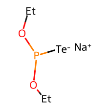 CCOP([Te-])OCC.[Na+]